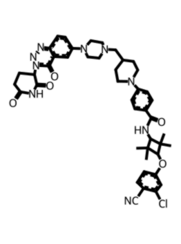 CC1(C)C(NC(=O)c2ccc(N3CCC(CN4CCN(c5ccc6nnn(C7CCC(=O)NC7=O)c(=O)c6c5)CC4)CC3)cc2)C(C)(C)C1Oc1ccc(C#N)c(Cl)c1